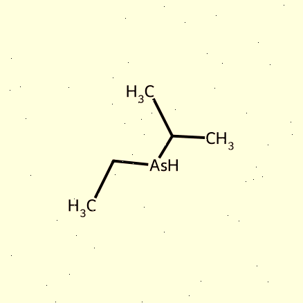 CC[AsH]C(C)C